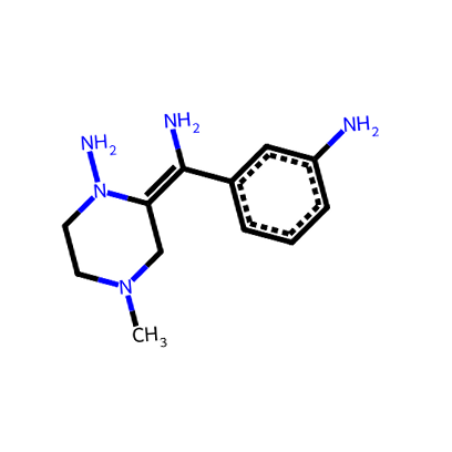 CN1CCN(N)/C(=C(\N)c2cccc(N)c2)C1